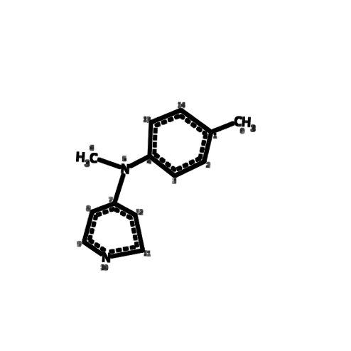 Cc1ccc(N(C)c2ccncc2)cc1